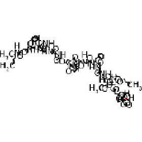 C=CCC[C@@H](C)NC(=O)COCNC(=O)CNC(=O)[C@H](Cc1ccccc1)NC(=O)CNC(=O)CNC(=O)CO[C@@H]1C[C@@H](C(=O)NCC(=O)NCC(=O)N[C@@H](Cc2ccccc2)C(=O)NCC(=O)NC[C@@H](O)C[C@H]2O[C@@H](C[C@H]3O[C@@H](CCCC)CCC3=C)[C@H](CC(=O)C[C@H]3CC[C@@H]4OC5COCO[C@H](C5O)[C@H]4O3)[C@H]2OC)N(N2C(=O)C=CC2=O)C1